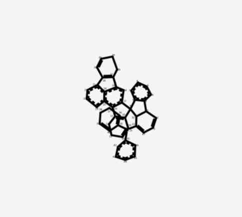 C1=CC2c3ccccc3C3(C4=C(CCC=C4)c4c3cc3c5c(cccc45)C4=C3CCC=C4)C2C(N(C2=CCCC=C2)c2ccccc2)=C1